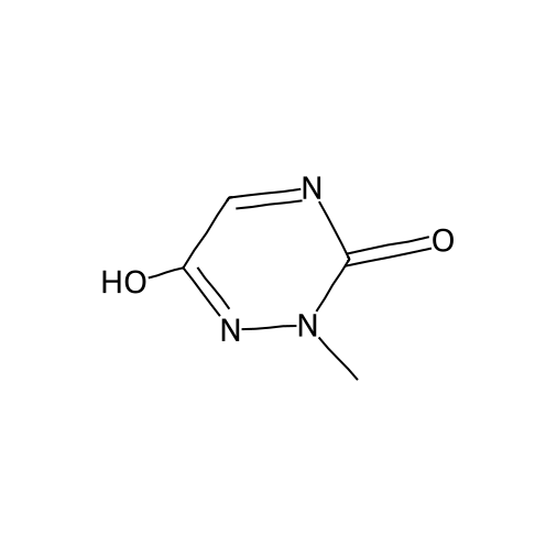 Cn1nc(O)cnc1=O